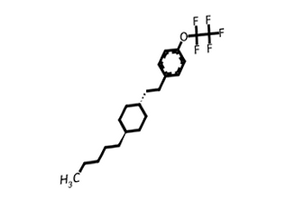 CCCCC[C@H]1CC[C@H](CCc2ccc(OC(F)(F)C(F)(F)F)cc2)CC1